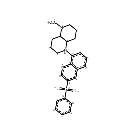 O=C(O)N1CCCC2C1CCCN2c1cccc2cc(S(=O)(=O)c3ccccc3)cnc12